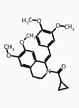 COc1ccc(C=C2c3cc(OC)c(OC)cc3CCN2C(=O)C2CC2)cc1OC